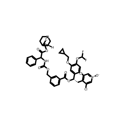 O=C(NC(C(=O)O[C@H]1CN2CCC1CC2)c1ccccc1)OCc1cccc(C(=O)O[C@@H](Cc2c(Cl)c[n+]([O-])cc2Cl)c2ccc(OC(F)F)c(OCC3CC3)c2)c1